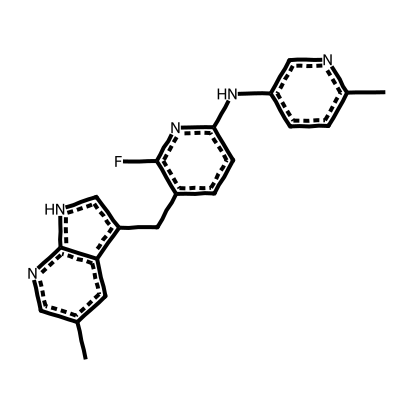 Cc1cnc2[nH]cc(Cc3ccc(Nc4ccc(C)nc4)nc3F)c2c1